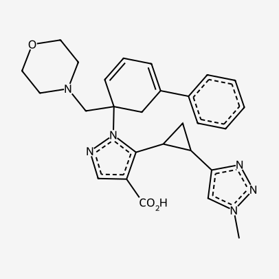 Cn1cc(C2CC2c2c(C(=O)O)cnn2C2(CN3CCOCC3)C=CC=C(c3ccccc3)C2)nn1